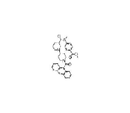 COC(=O)c1ccc(N(C)C(=O)C2CCCN(C3CCN(C(=O)c4c5ccccc5cc5ccccc45)CC3)C2)cc1